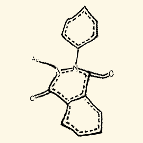 CC(=O)n1c(=O)c2ccccc2c(=O)n1-c1ccccc1